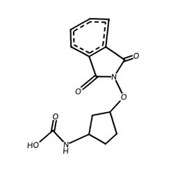 O=C(O)NC1CCC(ON2C(=O)c3ccccc3C2=O)C1